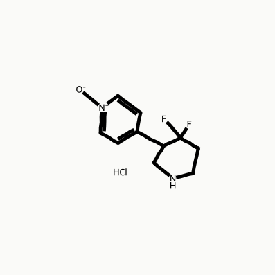 Cl.[O-][n+]1ccc(C2CNCCC2(F)F)cc1